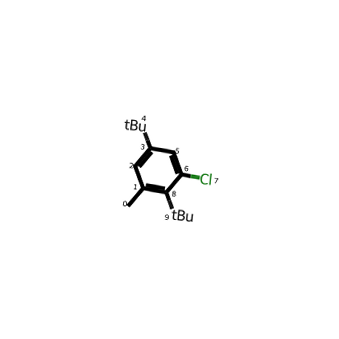 Cc1cc(C(C)(C)C)cc(Cl)c1C(C)(C)C